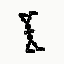 COCCOCCN(CCOCCOC)c1ccc(-c2c([O-])[c+](-c3ccc(N(CCOCCOC)CCOCCOC)cc3)c2=O)cc1